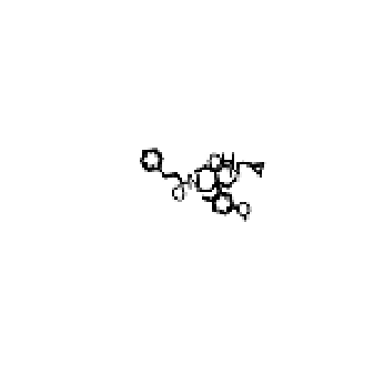 COc1ccc(C)c(C23CCN(C(=O)CCc4ccccc4)CCC2(O)C(C)N(CC2CC2)CC3)c1